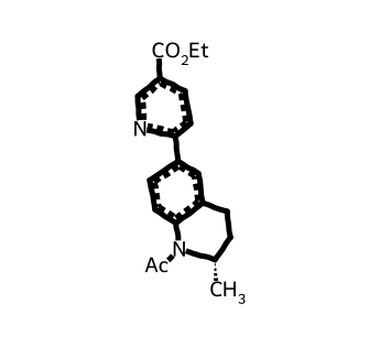 CCOC(=O)c1ccc(-c2ccc3c(c2)CC[C@H](C)N3C(C)=O)nc1